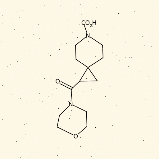 O=C(O)N1CCC2(CC1)CC2C(=O)N1CCOCC1